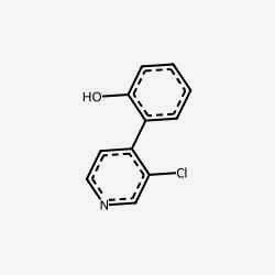 Oc1ccccc1-c1ccncc1Cl